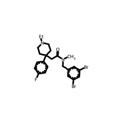 CCN1CCC(CC(=O)N(C)Cc2cc(Br)cc(Br)c2)(c2ccc(F)cc2)CC1